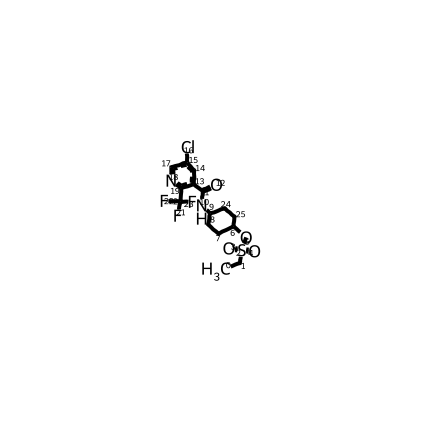 CCS(=O)(=O)OC1CCC(NC(=O)c2cc(Cl)cnc2C(F)(F)F)CC1